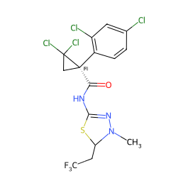 CN1N=C(NC(=O)[C@]2(c3ccc(Cl)cc3Cl)CC2(Cl)Cl)SC1CC(F)(F)F